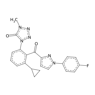 Cn1nnn(-c2cccc(C3CC3)c2C(=O)c2ccn(-c3ccc(F)cc3)n2)c1=O